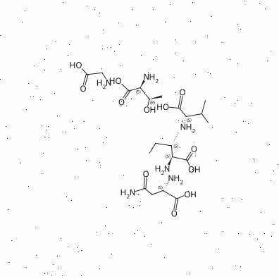 CC(C)[C@H](N)C(=O)O.CC[C@H](C)[C@H](N)C(=O)O.C[C@@H](O)[C@H](N)C(=O)O.NC(=O)C[C@H](N)C(=O)O.NCC(=O)O